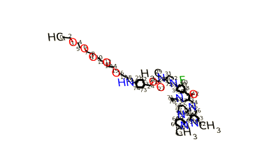 C#CCOCCOCCOCCOCCOCCCNc1ccc(COC(=O)N(C)[C@@H]2CCN(c3cc4c(cc3F)c(=O)c(CN(Cc3ccnc(C)c3)[C@H]3CCCN(c5ccc(C)nc5)C3)cn4C3CC3)C2)cc1